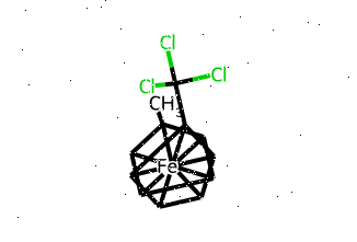 C[C]12[CH]3[CH]4[CH]5[CH]1[Fe]45321678[CH]2[CH]1[CH]6[C]7(C(Cl)(Cl)Cl)[CH]28